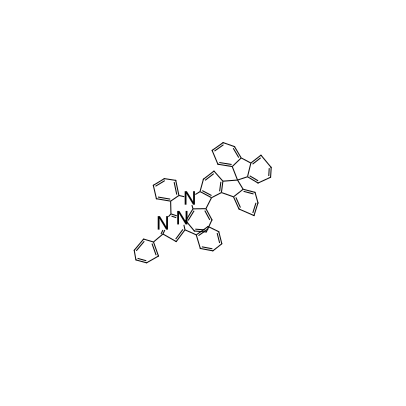 c1ccc(-c2cc(-c3ccccc3)nc(-c3ccccc3-n3c4ccccc4c4c5c(ccc43)C3(c4ccccc4-c4ccccc43)c3ccccc3-5)n2)cc1